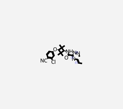 C/C=C/N=C(\N=N/C)C(=O)N[C@H]1C(C)(C)[C@H](Oc2ccc(C#N)c(Cl)c2)C1(C)C